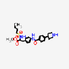 CCCCS(=O)(=O)NC(Cc1ccc(NC(=O)c2ccc(C3CCNCC3)cc2)cc1)C(=O)OC